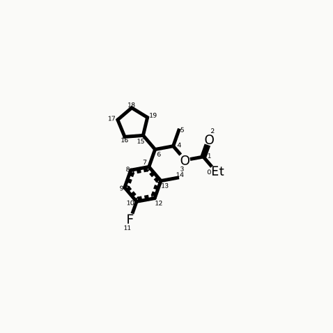 CCC(=O)OC(C)C(c1ccc(F)cc1C)C1CCCC1